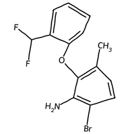 Cc1ccc(Br)c(N)c1Oc1ccccc1C(F)F